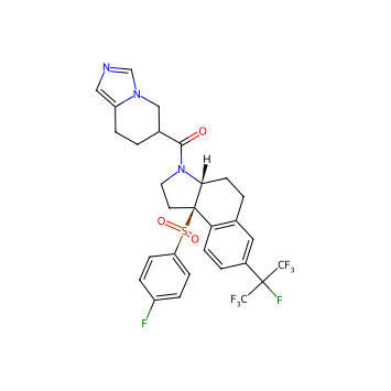 O=C(C1CCc2cncn2C1)N1CC[C@@]2(S(=O)(=O)c3ccc(F)cc3)c3ccc(C(F)(C(F)(F)F)C(F)(F)F)cc3CC[C@@H]12